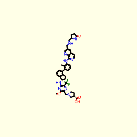 COc1nc(N[C@H]2CCc3c(-c4cccc(Nc5nccc6cc(CNCC7CCC(=O)N7)cnc56)c4C)cccc32)c(C(F)(F)F)nc1CN1CC[C@H](C(=O)O)C1